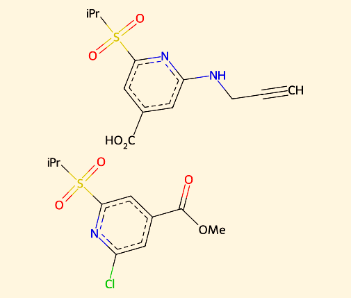 C#CCNc1cc(C(=O)O)cc(S(=O)(=O)C(C)C)n1.COC(=O)c1cc(Cl)nc(S(=O)(=O)C(C)C)c1